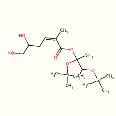 CC(=CCC(O)CO)C(=O)OC([SiH3])(O[Si](C)(C)C)C(C)O[Si](C)(C)C